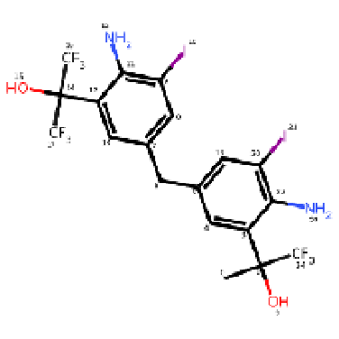 CC(O)(c1cc(Cc2cc(I)c(N)c(C(O)(C(F)(F)F)C(F)(F)F)c2)cc(I)c1N)C(F)(F)F